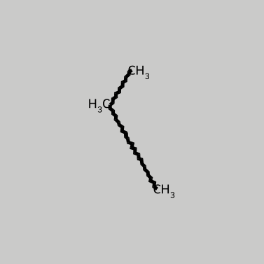 CCCCCCCCCCCCCCCCCCCC=CCCCCCCCCCC(C)CCCCCCCCCCCCC